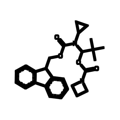 CC(C)(C)C(OC(=O)N1CCC1)N(C(=O)OCC1c2ccccc2-c2ccccc21)C1CC1